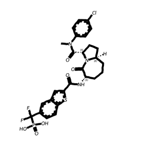 CN(C(=O)[C@@H]1CC[C@H]2CCC[C@H](NC(=O)c3cc4cc(C(F)(F)P(=O)(O)O)ccc4s3)C(=O)N21)c1ccc(Cl)cc1